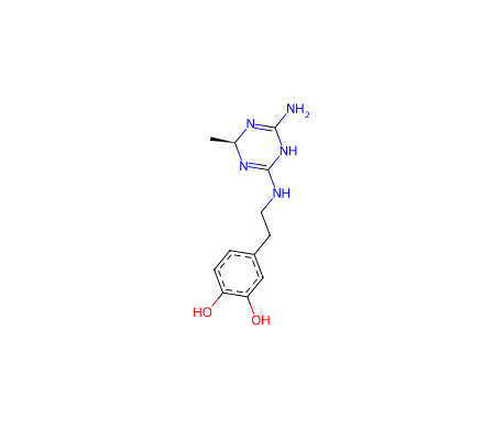 C[C@H]1N=C(N)NC(NCCc2ccc(O)c(O)c2)=N1